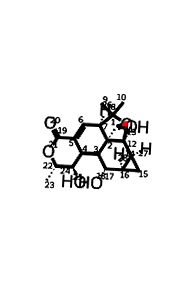 C=C[C@]12C3C4C(=C[C@H]1C(C)(C)O[C@@]2(O)[C@H]1C[C@H]1[C@@H]3O)C(=O)O[C@@H](C)[C@@H]4O